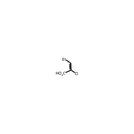 CC/C=C(/Cl)C(=O)O